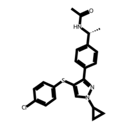 CC(=O)N[C@H](C)c1ccc(-c2nn(C3CC3)cc2Sc2ccc(Cl)cc2)cc1